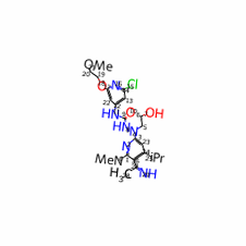 CNc1nc(N(CCO)NC(=O)Nc2cc(Cl)nc(OCCOC)c2)cc(C(C)C)c1C(C)=N